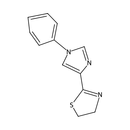 c1ccc(-n2cnc(C3=NCCS3)c2)cc1